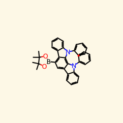 CC1(C)OB(c2cc3c4ccccc4n(-c4ccccc4)c3c3c2c2ccccc2n3-c2ccccc2)OC1(C)C